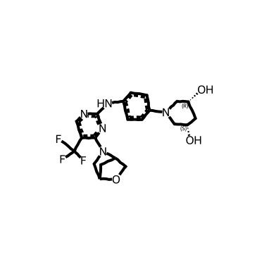 O[C@@H]1C[C@H](O)CN(c2ccc(Nc3ncc(C(F)(F)F)c(N4CC5CC4CO5)n3)cc2)C1